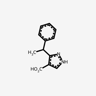 CC(c1ccccc1)c1n[nH]cc1C(=O)O